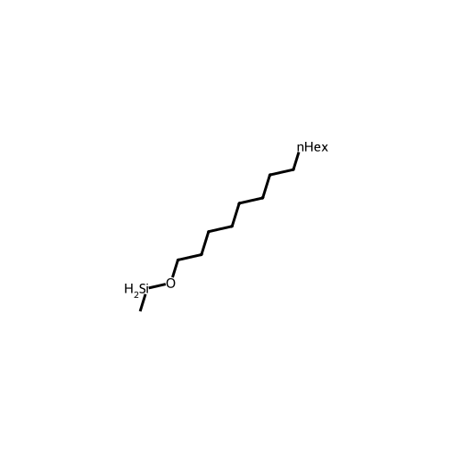 CCCCCCCCCCCCCCO[SiH2]C